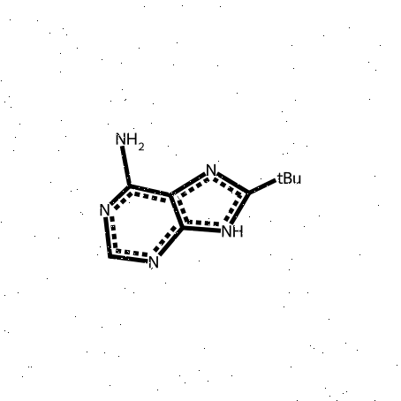 CC(C)(C)c1nc2c(N)ncnc2[nH]1